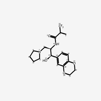 CC(C(=O)N[C@H](CN1CCCC1)[C@H](O)c1ccc2c(c1)OCCO2)C(F)(F)F